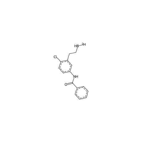 [2H]BCCc1cc(NC(=O)c2ccccc2)ccc1Cl